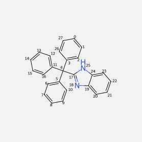 c1ccc(C(c2ccccc2)(c2ccccc2)c2nc3ccccc3[nH]2)cc1